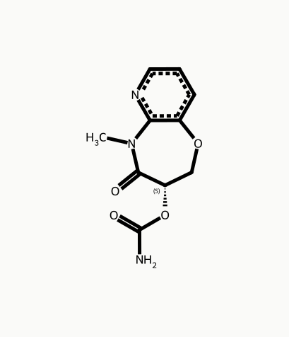 CN1C(=O)[C@@H](OC(N)=O)COc2cccnc21